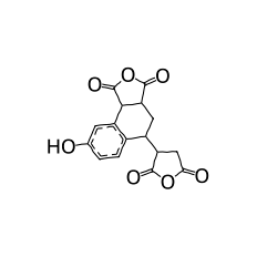 O=C1CC(C2CC3C(=O)OC(=O)C3c3cc(O)ccc32)C(=O)O1